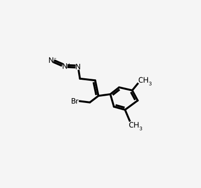 Cc1cc(C)cc(C(=CCN=[N+]=[N-])CBr)c1